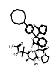 CCN(C(=O)C(F)(F)F)C(C)(C)C(=O)N(C)[C@H](C(=O)N[C@@H](CC(=O)OC(c1ccccc1)(c1ccc(C2CCCCCCCCC2)cc1)c1ccccc1Cl)C(=O)N1CCCC1)C(C)C